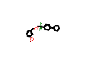 COc1cccc(COCC(F)(F)c2ccc(-c3ccccc3)cc2)c1